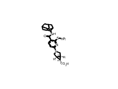 CCCSc1nc(N2C[C@@H]3[C@H](C2)[C@H]3C(=O)O)ccc1C(=O)NC1C2CC3CC(C2)CC1C3